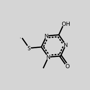 [CH2]Sc1nc(O)nc(=O)n1C